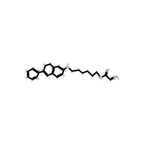 C=CC(=O)OCCCCCCOc1ccc2c(c1)CCC(c1ccccc1)=C2